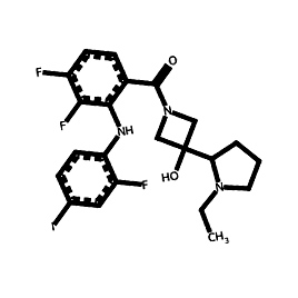 CCN1CCCC1C1(O)CN(C(=O)c2ccc(F)c(F)c2Nc2ccc(I)cc2F)C1